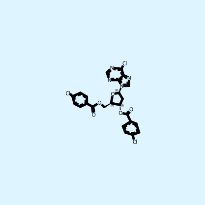 O=C(OC[C@H]1O[C@@H](n2cnc3c(Cl)ncnc32)C[C@@H]1OC(=O)c1ccc(Cl)cc1)c1ccc(Cl)cc1